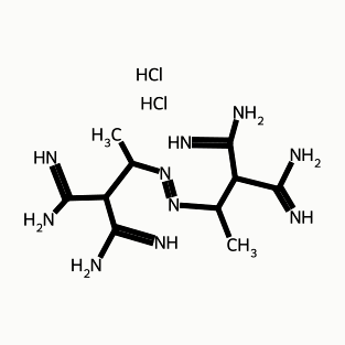 CC(N=NC(C)C(C(=N)N)C(=N)N)C(C(=N)N)C(=N)N.Cl.Cl